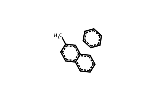 Cc1ccc2ccccc2c1.c1ccccc1